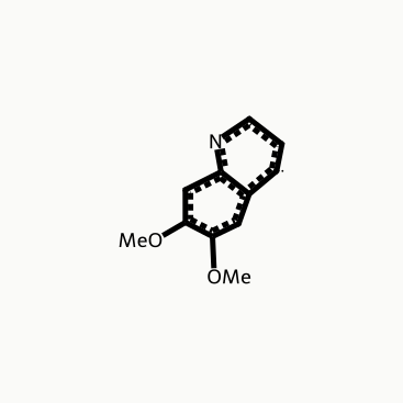 COc1cc2[c]ccnc2cc1OC